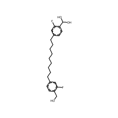 OCc1ccc(CCCCCCCCCc2ccc(C(O)O)c(F)c2)cc1F